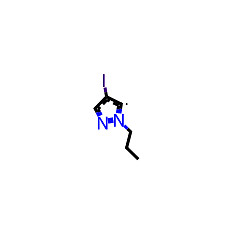 CCCn1[c]c(I)cn1